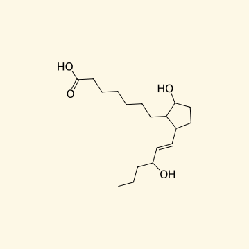 CCCC(O)C=CC1CCC(O)C1CCCCCCC(=O)O